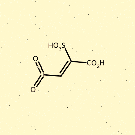 O=C(O)C(=CI(=O)=O)S(=O)(=O)O